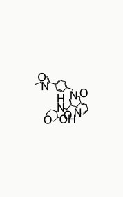 Cc1nc(-c2ccc(Cn3cc(C(=O)N[C@H]4CCOC[C@@H]4O)c4ncccc4c3=O)cc2)co1